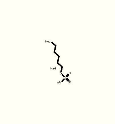 CCCCCCCCCCCCOS(=O)(=O)CCC.[NaH]